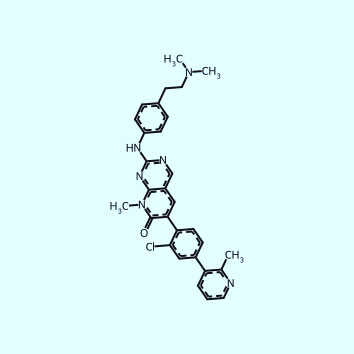 Cc1ncccc1-c1ccc(-c2cc3cnc(Nc4ccc(CCN(C)C)cc4)nc3n(C)c2=O)c(Cl)c1